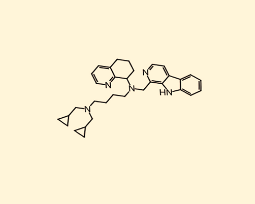 c1cnc2c(c1)CCCC2N(CCCCN(CC1CC1)CC1CC1)Cc1nccc2c1[nH]c1ccccc12